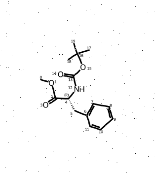 COC(=O)[C@@H](Cc1ccccc1)NC(=O)OC(C)(C)C